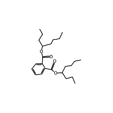 CCCCC(CCC)OC(=O)c1ccccc1C(=O)OC(CCC)CCCC